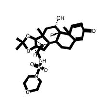 CC1(C)O[C@@H]2CC3C4CCC5=CC(=O)C=CC5(C)[C@@]4(F)[C@@H](O)CC3(C)[C@]2(C(=O)CNS(=O)(=O)N2CCOCC2)O1